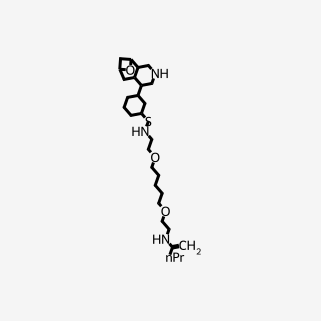 C=C(CCC)NCCOCCCCCOCCNSC1CCCC(C2CNCC3C4CC(CC23)O4)C1